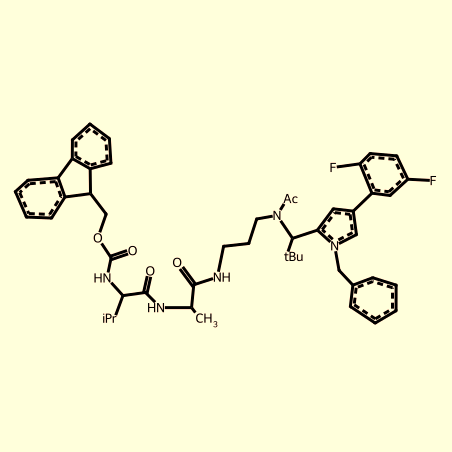 CC(=O)N(CCCNC(=O)C(C)NC(=O)C(NC(=O)OCC1c2ccccc2-c2ccccc21)C(C)C)C(c1cc(-c2cc(F)ccc2F)cn1Cc1ccccc1)C(C)(C)C